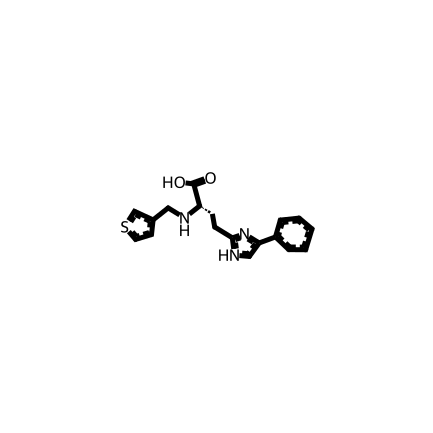 O=C(O)[C@H](CCc1nc(-c2ccccc2)c[nH]1)NCc1ccsc1